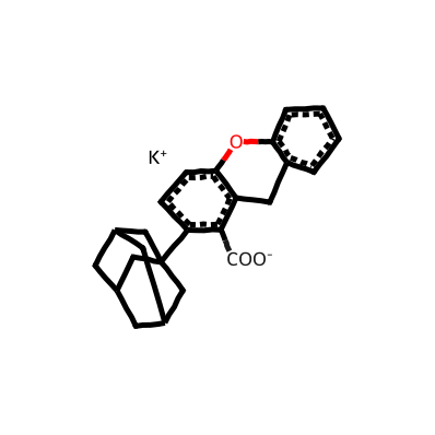 O=C([O-])c1c(C23CC4CC(CC(C4)C2)C3)ccc2c1Cc1ccccc1O2.[K+]